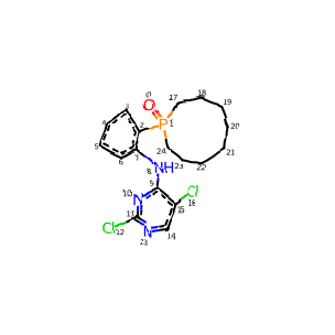 O=P1(c2ccccc2Nc2nc(Cl)ncc2Cl)CCCCCCCC1